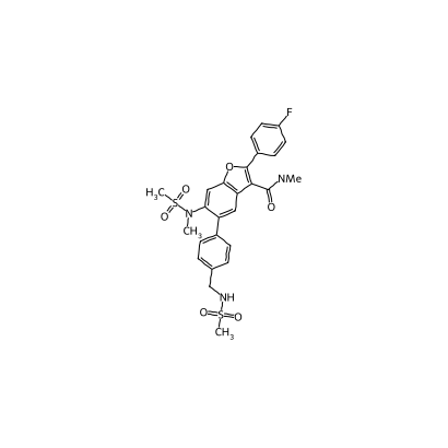 CNC(=O)c1c(-c2ccc(F)cc2)oc2cc(N(C)S(C)(=O)=O)c(-c3ccc(CNS(C)(=O)=O)cc3)cc12